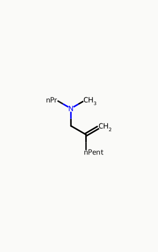 C=C(CCCCC)CN(C)CCC